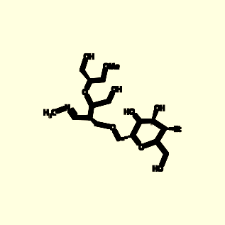 CC[C@@H]1C(CO)O[C@H](COC[C@@H](/C=N/C)C(CO)O[C@@H](CO)COC)C(O)[C@H]1O